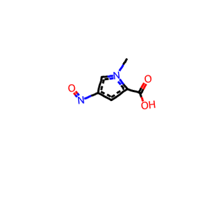 Cn1cc(N=O)cc1C(=O)O